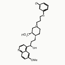 COc1ccc2nccc(C(O)CC[C@@H]3CCN(CCCSc4cccc(Cl)c4)C[C@@H]3C(=O)O)c2c1